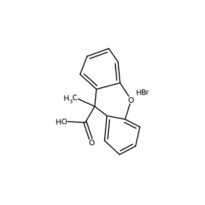 Br.CC1(C(=O)O)c2ccccc2Oc2ccccc21